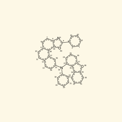 c1ccc(-c2nc3ccc4ccc5ccc(N(c6ccccc6)c6cccc7oc8ccccc8c67)cc5c4c3o2)cc1